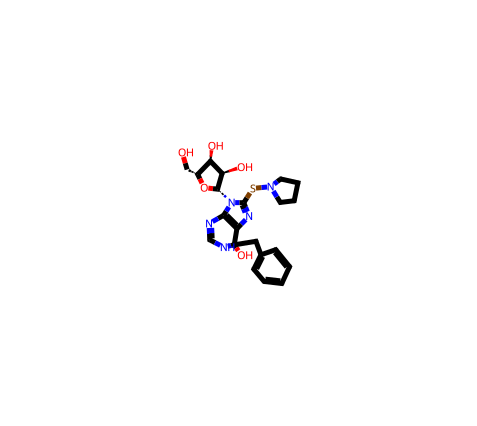 OC[C@H]1O[C@@H](n2c(SN3CCCC3)nc3c2N=CNC3(O)Cc2ccccc2)[C@H](O)[C@@H]1O